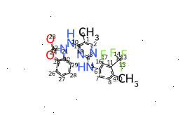 Cc1cnc(Nc2ccc(C)c(C(F)(F)F)c2F)nc1Nn1c(=O)oc2ccccc21